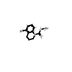 CC(C)(C)OC(=O)N1CCCc2c(Br)cccc21